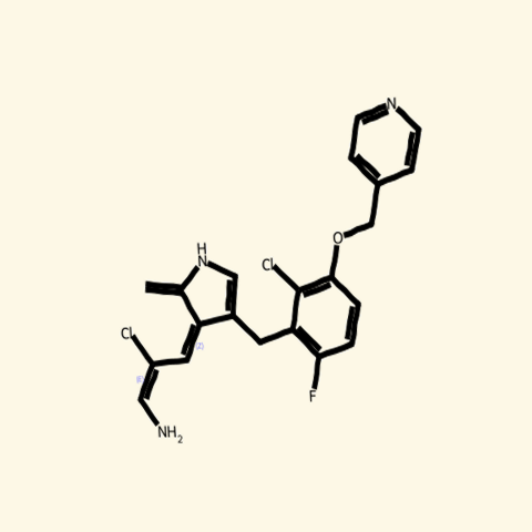 C=c1[nH]cc(Cc2c(F)ccc(OCc3ccncc3)c2Cl)/c1=C/C(Cl)=C\N